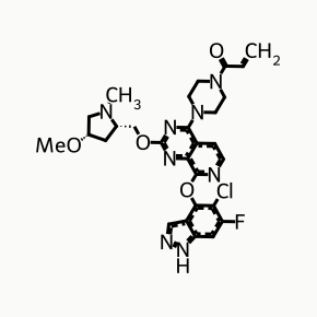 C=CC(=O)N1CCN(c2nc(OC[C@@H]3C[C@H](OC)CN3C)nc3c(Oc4c(Cl)c(F)cc5[nH]ncc45)nccc23)CC1